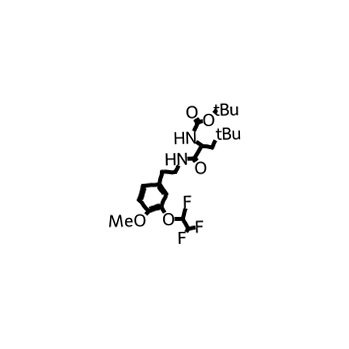 COc1ccc(CCNC(=O)C(CC(C)(C)C)NC(=O)OC(C)(C)C)cc1OC(F)C(F)F